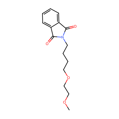 COCCOCCCCN1C(=O)c2ccccc2C1=O